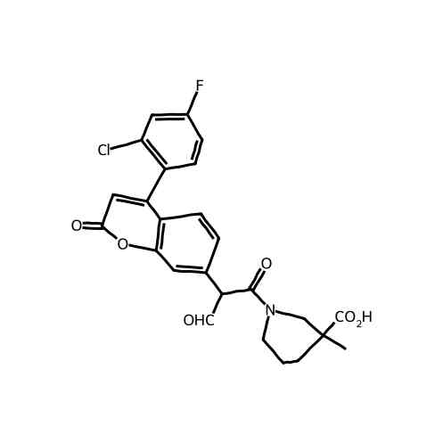 CC1(C(=O)O)CCCN(C(=O)C(C=O)c2ccc3c(-c4ccc(F)cc4Cl)cc(=O)oc3c2)C1